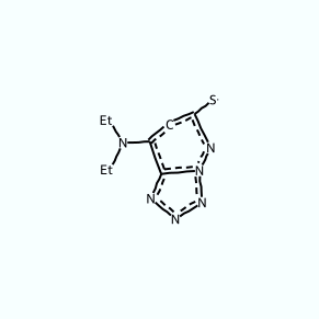 CCN(CC)c1cc([S])nn2nnnc12